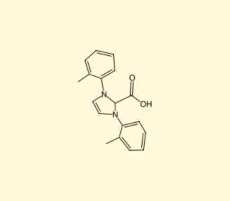 Cc1ccccc1N1C=CN(c2ccccc2C)C1C(=O)O